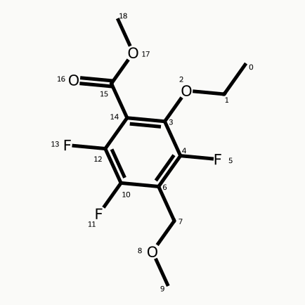 CCOc1c(F)c(COC)c(F)c(F)c1C(=O)OC